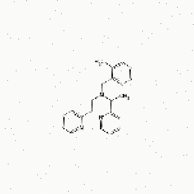 Cc1cccnc1CN(CCc1ccccn1)C(C)c1ccccn1